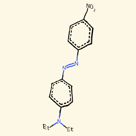 [CH2]CN(CC)c1ccc(N=Nc2ccc([N+](=O)[O-])cc2)cc1